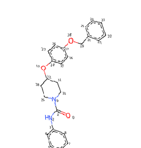 O=C(Nc1ccccc1)N1CCC(Oc2ccc(OCc3ccccc3)cc2)CC1